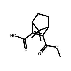 COC(=O)C1=C(C(=O)O)C2CCC1C2(C)C